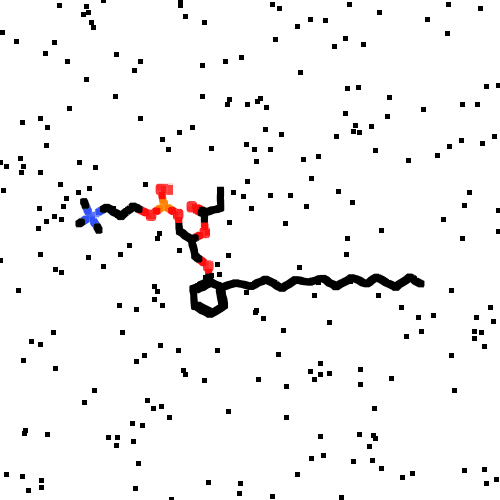 CCCCCCCCCCCCCCc1ccccc1OCC(COP(O)OCCC[N+](C)(C)C)OC(=O)CC